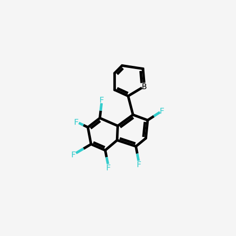 Fc1cc(F)c2c(F)c(F)c(F)c(F)c2c1-c1bcccc1